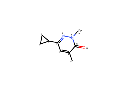 Cc1cc(C2CC2)nn(C(C)C)c1=O